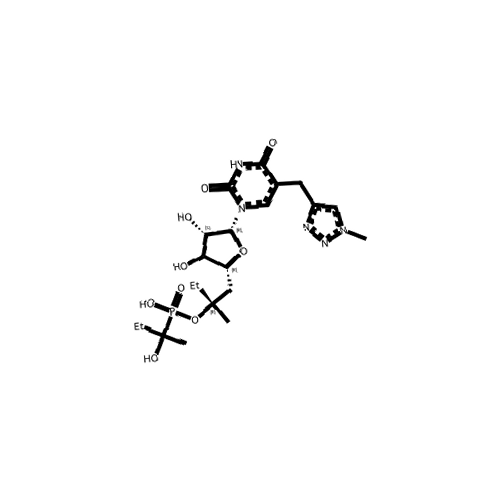 CCC(C)(O)P(=O)(O)O[C@](C)(CC)C[C@H]1O[C@@H](n2cc(Cc3cn(C)nn3)c(=O)[nH]c2=O)[C@@H](O)C1O